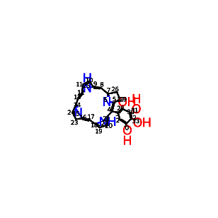 Oc1cc(-c2c3nc(cc4ccc(cc5nc(cc6ccc2[nH]6)CC5)[nH]4)CC3)c(O)c(O)c1O